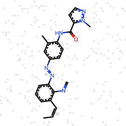 C=Nc1c(/C=C\C)cccc1/N=N/c1ccc(NC(=O)c2ccnn2C)c(C)c1